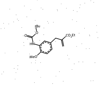 C=C(Cc1ccc(OC)c(NC(=O)OC(C)(C)C)c1)C(=O)OCC